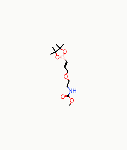 COC(=O)NCCOCC=CB1OC(C)(C)C(C)(C)O1